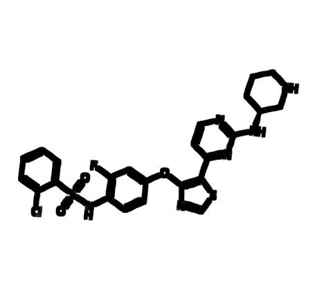 O=S(=O)(Nc1ccc(Oc2ncsc2-c2ccnc(N[C@H]3CCCNC3)n2)cc1F)c1ccccc1Cl